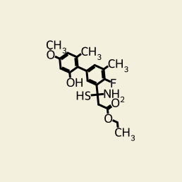 CCOC(=O)CC(N)(S)c1cc(-c2c(C)cc(OC)cc2O)cc(C)c1F